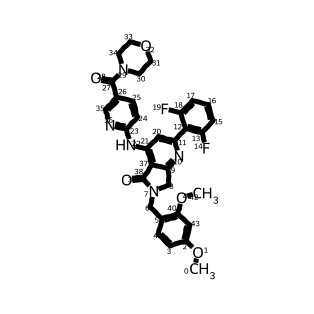 COc1ccc(CN2Cc3nc(-c4c(F)cccc4F)cc(Nc4ccc(C(=O)N5CCOCC5)cn4)c3C2=O)c(OC)c1